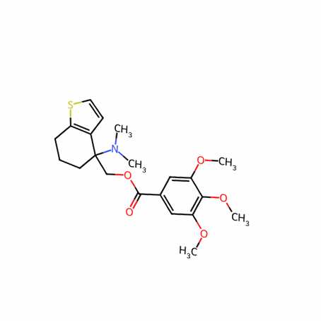 COc1cc(C(=O)OCC2(N(C)C)CCCc3sccc32)cc(OC)c1OC